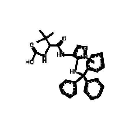 Cn1ncc(NC(=O)C(NC(=O)O)C(C)(C)C)c1NC(c1ccccc1)(c1ccccc1)c1ccccc1